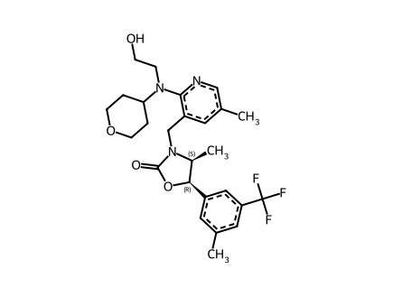 Cc1cc([C@H]2OC(=O)N(Cc3cc(C)cnc3N(CCO)C3CCOCC3)[C@H]2C)cc(C(F)(F)F)c1